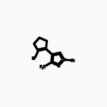 CCn1cc(C2=C(Br)CCC2)c(C(F)(F)F)n1